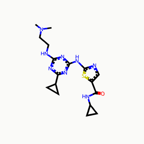 CN(C)CCNc1nc(Nc2ncc(C(=O)NC3CC3)s2)nc(C2CC2)n1